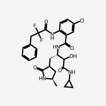 C[C@@H]1CC(C[C@H](NC(=O)c2cc(Cl)ccc2NC(=O)C(F)(F)Cc2ccccc2)C(O)C(=O)NC2CC2)C(=O)N1